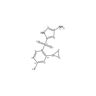 Nc1c[nH]c(S(=O)(=O)c2ccc(F)cc2C2CC2)c1